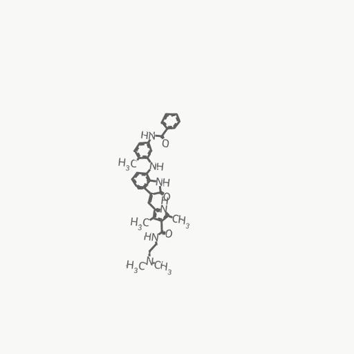 Cc1ccc(NC(=O)c2ccccc2)cc1Nc1cccc2c1NC(=O)/C2=C\c1[nH]c(C)c(C(=O)NCCN(C)C)c1C